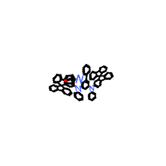 c1ccc(N(c2ccc3c(c2)C2(c4ccccc4-c4ccccc42)c2ccccc2-3)c2cc(N(c3ccccc3)c3ccc4c(c3)C3(c5ccccc5-c5ccccc53)c3ccccc3-4)c3c(c2)c2ccccc2n3-c2ccccc2)cc1